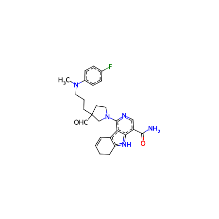 CN(CCCC1(C=O)CCN(c2ncc(C(N)=O)c3[nH]c4c(c23)C=CCC4)C1)c1ccc(F)cc1